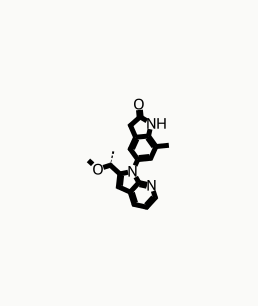 CO[C@H](C)c1cc2cccnc2n1-c1cc(C)c2c(c1)CC(=O)N2